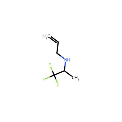 C=CCNC(C)C(F)(F)F